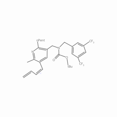 C=C/C=C\c1cc(CN(Cc2cc(C(F)(F)F)cc(C(F)(F)F)c2)C(=O)OC(C)(C)C)c(CCCCC)nc1C